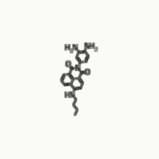 CCCCNc1ccc2c3c(cccc13)C(=O)N(c1ccc(N)c(N)c1)C2=O